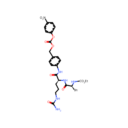 CCOC(=O)N[C@H](C(=O)N[C@@H](CCCNC(N)=O)C(=O)Nc1ccc(COC(=O)Oc2ccc([N+](=O)[O-])cc2)cc1)C(C)C